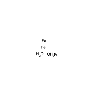 O.O.[Fe].[Fe].[Fe]